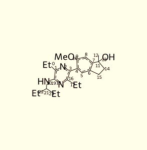 CCc1nc(-c2cc3c(cc2OC)C(C)(O)CC3)c(CC)nc1NC(CC)CC